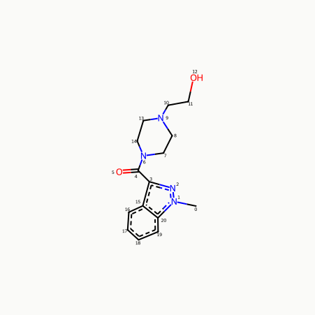 Cn1nc(C(=O)N2CCN(CCO)CC2)c2ccccc21